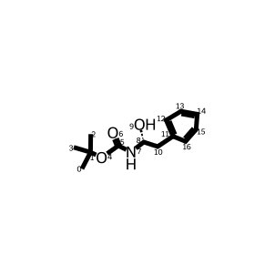 CC(C)(C)OC(=O)N[C@H](O)Cc1ccccc1